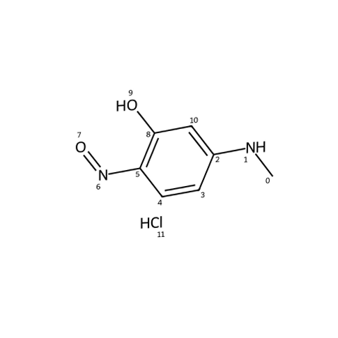 CNc1ccc(N=O)c(O)c1.Cl